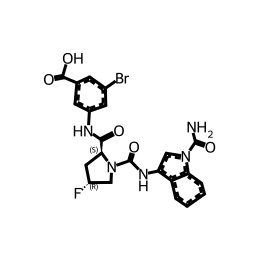 NC(=O)n1cc(NC(=O)N2C[C@H](F)C[C@H]2C(=O)Nc2cc(Br)cc(C(=O)O)c2)c2ccccc21